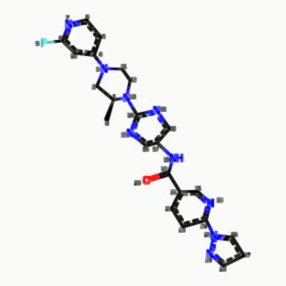 C[C@H]1CN(c2ccnc(F)c2)CCN1c1ncc(NC(=O)c2ccc(-n3cccn3)nc2)cn1